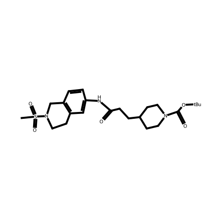 CC(C)(C)OC(=O)N1CCC(CCC(=O)Nc2ccc3c(c2)CCN(S(C)(=O)=O)C3)CC1